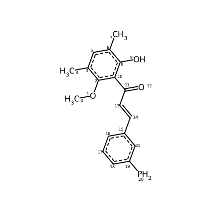 COc1c(C)cc(C)c(O)c1C(=O)/C=C/c1cccc(P)c1